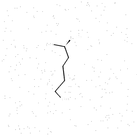 CC(=O)N[C@@H](CCCCC(C)(C)C)C(C)(C)C